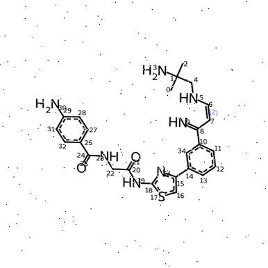 CC(C)(N)CN/C=C\C(=N)c1cccc(-c2csc(NC(=O)CNC(=O)c3ccc(N)cc3)n2)c1